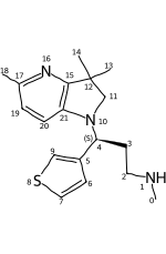 CNCC[C@@H](c1ccsc1)N1CC(C)(C)c2nc(C)ccc21